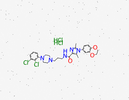 Cc1nc(C(=O)NCCCN2CCN(c3cccc(Cl)c3Cl)CC2)c(C)n1-c1ccc2c(c1)OCCO2.Cl.Cl